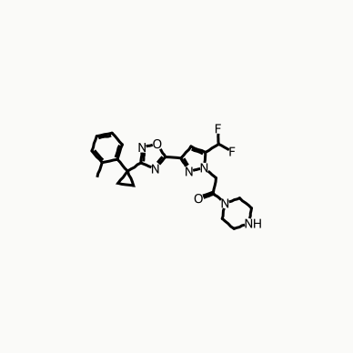 Cc1ccccc1C1(c2noc(-c3cc(C(F)F)n(CC(=O)N4CCNCC4)n3)n2)CC1